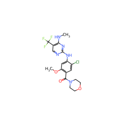 CNc1nc(Nc2cc(OC)c(C(=O)N3CCOCC3)cc2Cl)ncc1C(F)(F)F